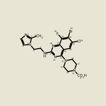 Cc1nccn1CCNc1nc(N2CCN(C(=O)O)CC2)c2cc(Cl)c(Br)c(F)c2n1